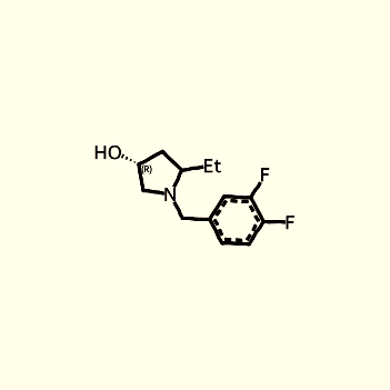 CCC1C[C@@H](O)CN1Cc1ccc(F)c(F)c1